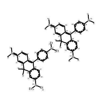 CCN(CC)c1ccc(C2=C3C=CC(=[N+](C)C)C=C3C(C)(C)c3cc(N(CC)CC)ccc32)cc1.CN(C)c1ccc(C2=C3C=CC(=[N+](C)C)C=C3C(C)(C)c3cc(N(C)C)ccc32)cc1